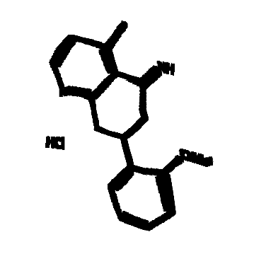 COc1ccccc1C1CC(=N)c2c(C)ccnc2C1.Cl